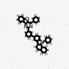 c1ccc(-c2nc(-c3cccc(-c4ccc5c(c4)c4ccc6ccccc6c4n5-c4ccccc4)c3)nc3c2oc2ccccc23)cc1